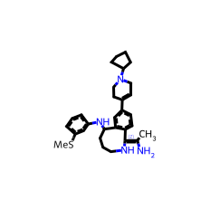 CSc1cccc(NC2CCCN/C(=C(/C)N)c3ccc(C4=CCN(C5CCCC5)CC4)cc32)c1